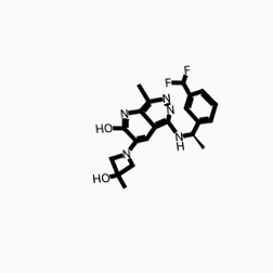 Cc1nnc(N[C@H](C)c2cccc(C(F)F)c2)c2cc(N3CC(C)(O)C3)c(O)nc12